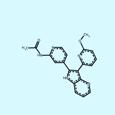 COc1cccc(-c2c(-c3ccnc(NC(C)=O)c3)[nH]c3cccnc23)n1